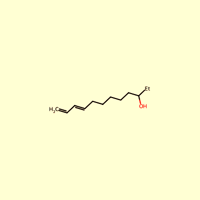 C=CC=CCCCCCC(O)CC